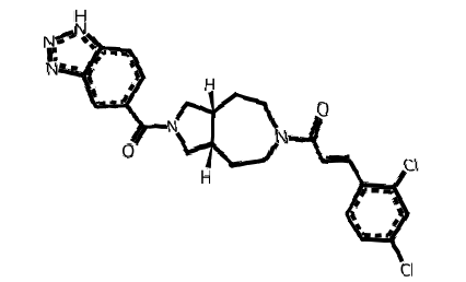 O=C(C=Cc1ccc(Cl)cc1Cl)N1CC[C@@H]2CN(C(=O)c3ccc4[nH]nnc4c3)C[C@@H]2CC1